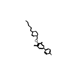 CCCCCC1CCC(COc2c(C)cc(-c3ccc(C)cc3)cc2C)CC1